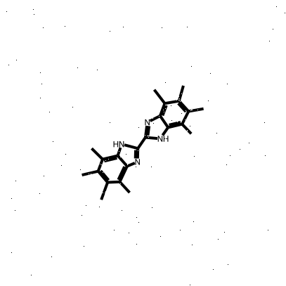 Cc1c(C)c(C)c2[nH]c(-c3nc4c(C)c(C)c(C)c(C)c4[nH]3)nc2c1C